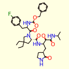 CCC1(CC)C[C@@H](C(=O)NC(C[C@@H]2CCNC2=O)C(=O)C(=O)NC(C)C)N(C(=O)C(Cc2ccc(F)cc2)NC(=O)OCc2ccccc2)C1